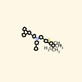 CC1(C)CC(C)(C)c2cc3c(cc21)sc1cc(-c2cccc(N(c4ccc(-c5ccccc5)cc4)c4ccc(-c5ccc6c7ccccc7c7ccccc7c6c5)cc4)c2)ccc13